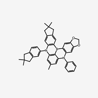 Cc1cc2c3c(c1)N(c1ccccc1)c1cc4c(cc1B3c1cc3c(cc1N2c1ccc2c(c1)CC(C)(C)C2)CC(C)(C)C3)OCO4